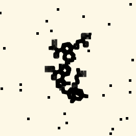 CNCCOC12CC3(C)CC(C)(CC(Cn4ccc(-c5ccc(N6CCc7c(OCC(=O)O)ccc(C(=O)NC)c7C6)nc5C(=O)O)c4C)(C3)C1)C2